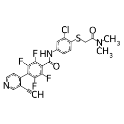 C#Cc1cnccc1-c1c(F)c(F)c(C(=O)Nc2ccc(SCC(=O)N(C)C)c(Cl)c2)c(F)c1F